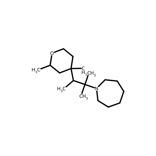 CC1CC(C)(C(C)C(C)(C)N2CCCCCC2)CCO1